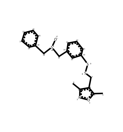 Cc1noc(C)c1CSSc1cccc(C[S+]([O-])Cc2ccccc2)c1